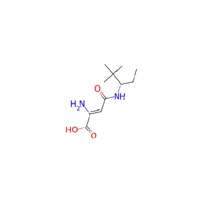 CCC(NC(=O)/C=C(\N)C(=O)O)C(C)(C)C